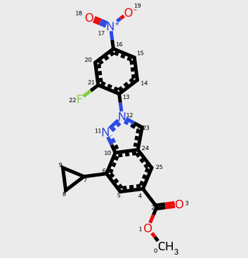 COC(=O)c1cc(C2CC2)c2nn(-c3ccc([N+](=O)[O-])cc3F)cc2c1